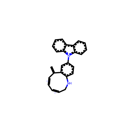 C=C1/C=C\C=C/CNc2ccc(-n3c4ccccc4c4ccccc43)cc21